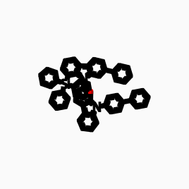 c1ccc(-c2ccc(-n3c4ccccc4c4ccc(-n5c6cc(-c7ccccc7)ccc6c6cccc([Si](c7ccccc7)(c7ccccc7)c7ccccc7)c65)cc43)cc2)cc1